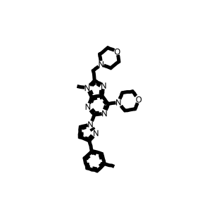 Cc1cccc(-c2ccn(-c3nc(N4CCOCC4)c4nc(CN5CCOCC5)n(C)c4n3)n2)c1